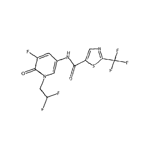 O=C(Nc1cc(F)c(=O)n(CC(F)F)c1)c1cnc(C(F)(F)F)s1